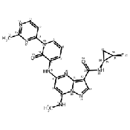 CNc1cc(Nc2cccn(-c3ccnc(C)n3)c2=O)nc2c(C(=O)N[C@H]3C[C@H]3F)cnn12